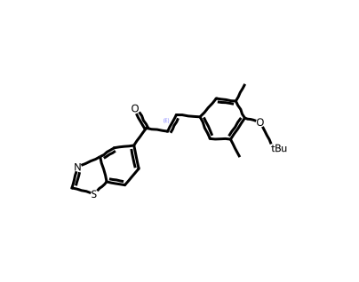 Cc1cc(/C=C/C(=O)c2ccc3scnc3c2)cc(C)c1OC(C)(C)C